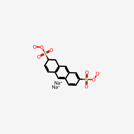 O=S(=O)(O[O-])c1ccc2cc3c(cc2c1)CC(S(=O)(=O)O[O-])C=C3.[Na+].[Na+]